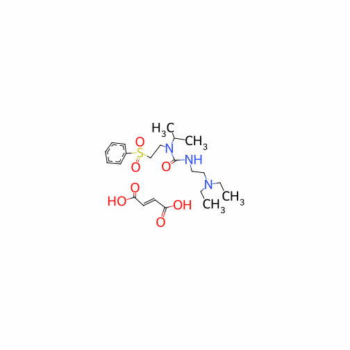 CCN(CC)CCNC(=O)N(CCS(=O)(=O)c1ccccc1)C(C)C.O=C(O)C=CC(=O)O